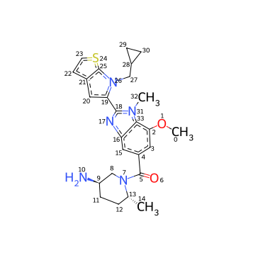 COc1cc(C(=O)N2C[C@H](N)CC[C@H]2C)cc2nc(-c3cc4ccsc4n3CC3CC3)n(C)c12